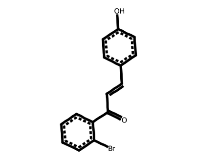 O=C(/C=C/c1ccc(O)cc1)c1ccccc1Br